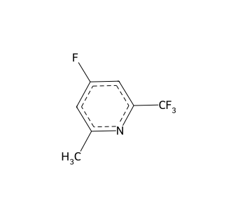 Cc1cc(F)cc(C(F)(F)F)n1